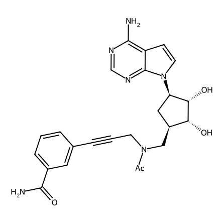 CC(=O)N(CC#Cc1cccc(C(N)=O)c1)C[C@H]1C[C@@H](n2ccc3c(N)ncnc32)[C@H](O)[C@@H]1O